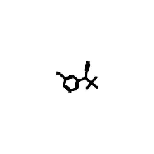 CC(C)(C)[C](C#N)c1cncc(Br)c1